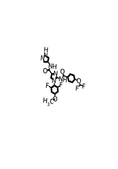 COc1cc(F)c(-n2cc(C(=O)Nc3cn[nH]c3)nc2NC(=O)c2ccc(OC(F)F)cc2)c(F)c1